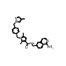 Cc1cnn(Cc2ccc(Cn3c(C)cc(C(=O)NCc4ccc5c(N)nccc5c4)c3C)cc2)c1